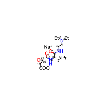 CCN(CC)CCNC(=O)[C@H](CC(C)C)NC(=O)[C@H]1O[C@@H]1C(=O)[O-].[Na+]